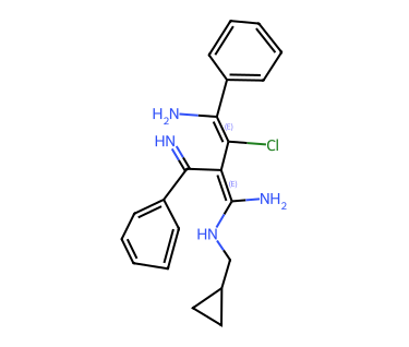 N=C(C(=C(/N)NCC1CC1)/C(Cl)=C(\N)c1ccccc1)c1ccccc1